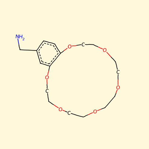 NCc1ccc2c(c1)OCCOCCOCCOCCOCCO2